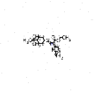 CCOC(=O)/C(=N\O[C@H]1CC[C@H](C(C)(C)C)CC1)c1csc(N)n1